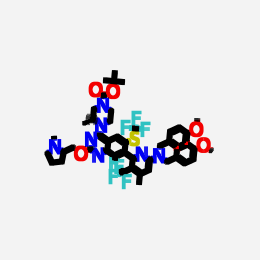 COc1ccc(CN(Cc2ccc(OC)cc2)c2cc(C)c(C(F)(F)F)c(-c3c(SC(F)(F)F)cc4c(N5CCN(C(=O)OC(C)(C)C)C[C@@H]5C)nc(OCC5CCCN5C)nc4c3F)n2)cc1